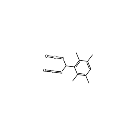 Cc1cc(C)c(C)c(C(N=C=O)N=C=O)c1C